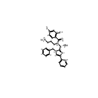 CC(C)(C)[C@H](c1nc(-c2ccccn2)cn1Cc1ccccc1)N(CCCN)C(=O)c1ccc(F)cc1F